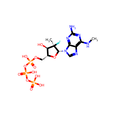 CNc1nc(N)nc2c1ncn2[C@@H]1O[C@H](COP(=O)(O)OP(=O)(O)OP(=O)(O)O)[C@@H](O)[C@@]1(C)F